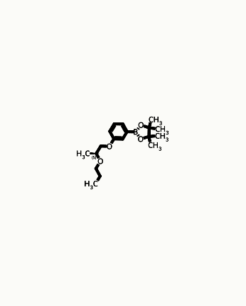 CCCO[C@@H](C)COc1cccc(B2OC(C)(C)C(C)(C)O2)c1